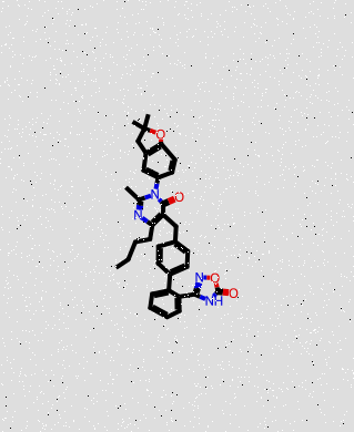 CCCCc1nc(C)n(-c2ccc3c(c2)CC(C)(C)O3)c(=O)c1Cc1ccc(-c2ccccc2-c2noc(=O)[nH]2)cc1